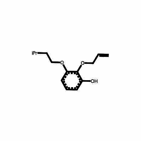 C=CCOc1c(O)cccc1OCCC(C)C